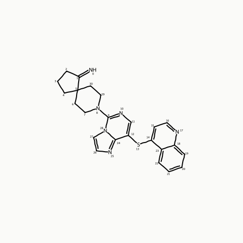 N=C1CCCC12CCN(c1ncc(Sc3ccnc4ccccc34)c3nccn13)CC2